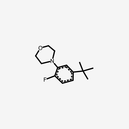 CC(C)(C)c1ccc(F)c(N2CCOCC2)c1